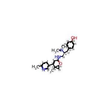 Cc1ccc(/C(=C/C(=O)NC[C@H](Cc2ccc(O)cc2)N(C)C)C2(C(F)(F)F)CC2)cn1